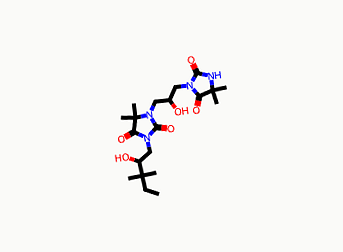 CCC(C)(C)C(O)CN1C(=O)N(CC(O)CN2C(=O)NC(C)(C)C2=O)C(C)(C)C1=O